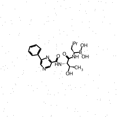 CC(C)C[C@H](NC(=O)[C@@H](NC(=O)c1cncc(-c2ccccc2)n1)[C@@H](C)O)B(O)O